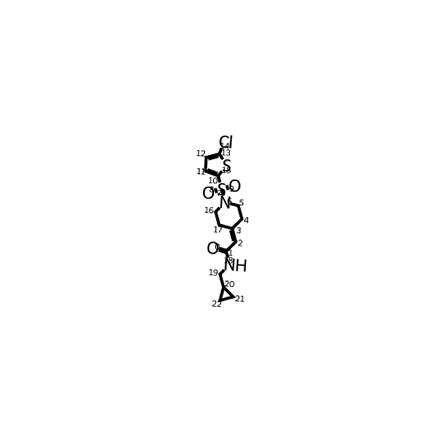 O=C(C=C1CCN(S(=O)(=O)c2ccc(Cl)s2)CC1)NCC1CC1